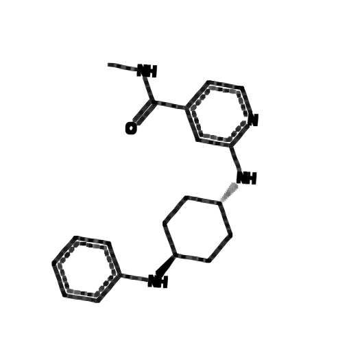 CNC(=O)c1ccnc(N[C@H]2CC[C@H](Nc3ccccc3)CC2)c1